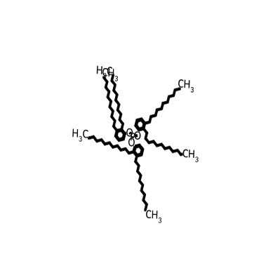 CCCCCCCCCCCCc1cccc(OP(Oc2cccc(CCCCCCCCCCCC)c2CCCCCCCCCCCC)Oc2cccc(CCCCCCCCCCCC)c2CCCCCCCCCCCC)c1CCCCCCCCCCCC